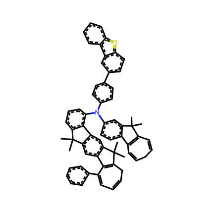 CC1(C)C2=C(C=CCC=C2)c2ccc(N(c3ccc(-c4ccc5sc6ccccc6c5c4)cc3)c3cccc4c3-c3cc5c(cc3C4(C)C)C3=C(CC=CC=C3c3ccccc3)C5(C)C)cc21